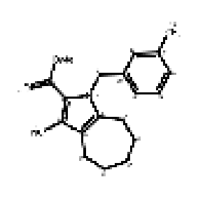 COC(=O)c1c(C#N)c2c(n1Cc1cccc(C(F)(F)F)c1)CCCCC2